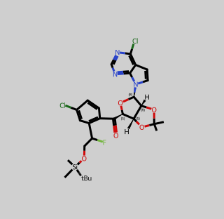 CC1(C)O[C@@H]2[C@H](O1)[C@@H](C(=O)c1ccc(Cl)cc1C(F)CO[Si](C)(C)C(C)(C)C)O[C@H]2n1ccc2c(Cl)ncnc21